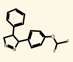 FC(F)Oc1ccc(C2N=NCC2c2ccccc2)cc1